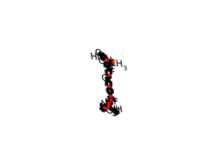 Cn1nc(N2CCC(=O)NC2=O)c2ccc(C3CCN(CC(=O)N4CCN(c5ccc(-c6cc(F)c7cn(C(C(=O)Nc8nccs8)c8ncn9c8CCC9)nc7c6)cc5)CC4)CC3(F)F)nc21